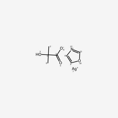 CC(C)(O)C(=O)[O-].[Ag+].c1cocn1